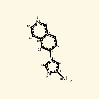 Nc1cn(-c2ccc3cnccc3c2)cn1